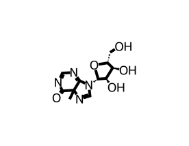 CC12N=CN([C@@H]3O[C@H](CO)[C@@H](O)[C@H]3O)C1=NC=NC2=O